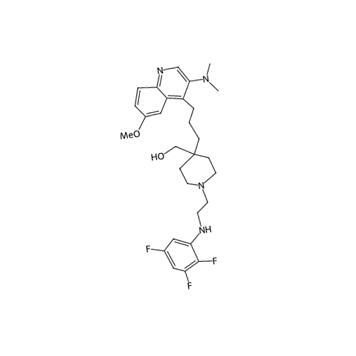 COc1ccc2ncc(N(C)C)c(CCCC3(CO)CCN(CCNc4cc(F)cc(F)c4F)CC3)c2c1